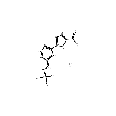 O=C([O-])c1ncc(-c2cncc(OCC(F)(F)F)n2)s1.[K+]